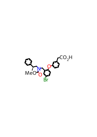 COC(=O)N(Cc1cc(Br)ccc1Oc1cccc(CC(=O)O)c1)C[C@@H](C)c1ccccc1